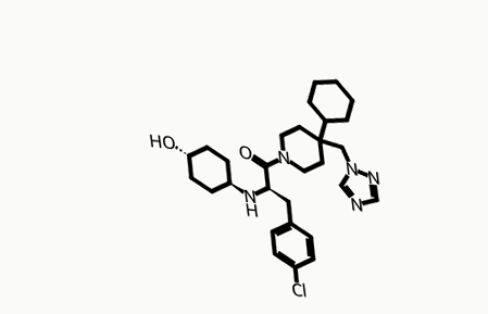 O=C([C@@H](Cc1ccc(Cl)cc1)N[C@H]1CC[C@H](O)CC1)N1CCC(Cn2cncn2)(C2CCCCC2)CC1